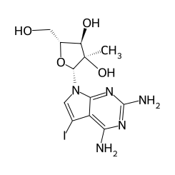 C[C@@]1(O)[C@H](O)[C@@H](CO)O[C@H]1n1cc(I)c2c(N)nc(N)nc21